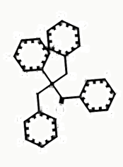 O=C(c1ccccc1)C(Cc1cc[c]cc1)(Cc1ccccc1)c1ccccc1